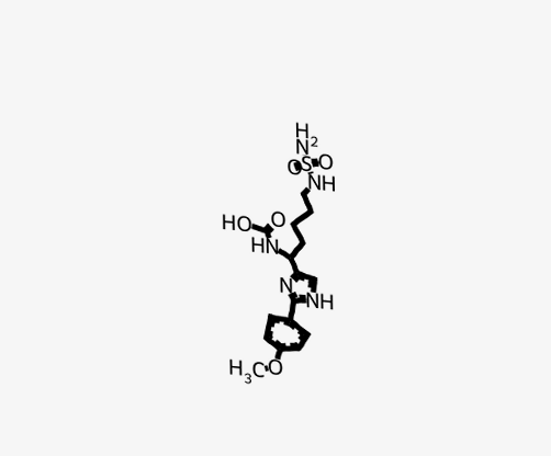 COc1ccc(-c2nc(C(CCCCNS(N)(=O)=O)NC(=O)O)c[nH]2)cc1